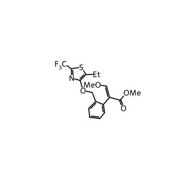 CCc1sc(C(F)(F)F)nc1OCc1ccccc1/C(=C\OC)C(=O)OC